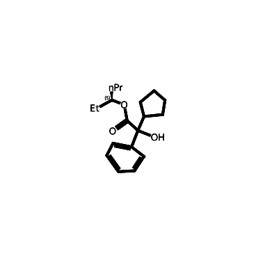 CCC[C@H](CC)OC(=O)C(O)(c1ccccc1)C1CCCC1